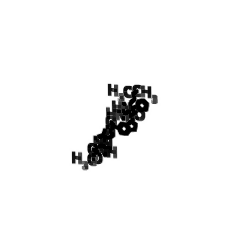 COC(=O)Nc1ncc2c(n1)CN(C(=O)c1ccc3c(c1)[C@H](N1C(=N)N[C@](CCC(C)C)(c4ccccc4)C1=O)CC3)C2